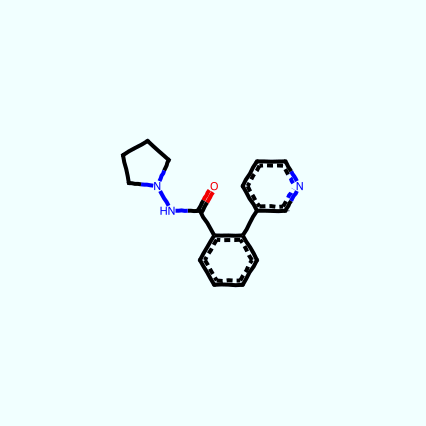 O=C(NN1CCCC1)c1ccccc1-c1[c]nccc1